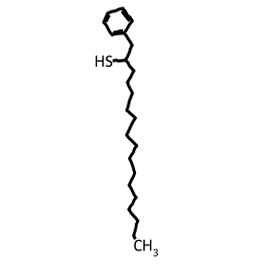 CCCCCCCCCCCCCCCC(S)Cc1ccccc1